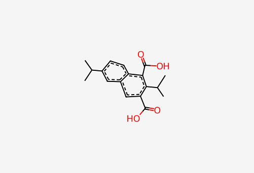 CC(C)c1ccc2c(C(=O)O)c(C(C)C)c(C(=O)O)cc2c1